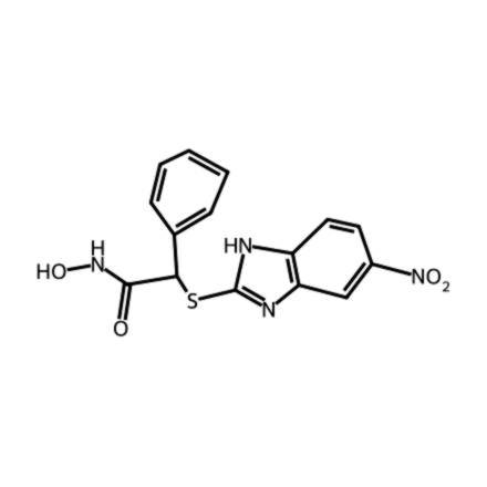 O=C(NO)C(Sc1nc2cc([N+](=O)[O-])ccc2[nH]1)c1ccccc1